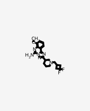 COc1cccc2c1nc(N)n1nc(C3CCCN(CC4CC(F)(F)C4)C3)nc21